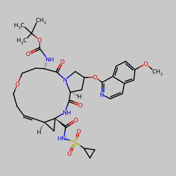 COc1ccc2c(OC3C[C@H]4C(=O)N[C@]5(C(=O)NS(=O)(=O)C6CC6)C[C@H]5/C=C\CCOCC[C@H](NC(=O)OC(C)(C)C)C(=O)N4C3)nccc2c1